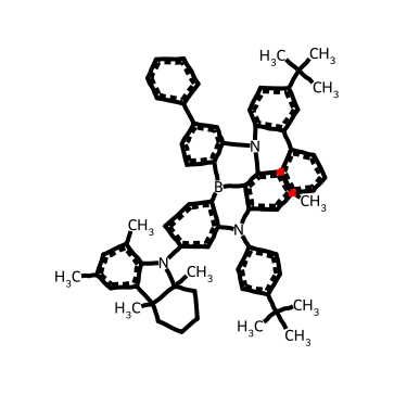 Cc1cc2c3c(c1)N(c1ccc(C(C)(C)C)cc1-c1ccccc1)c1cc(-c4ccccc4)ccc1B3c1ccc(N3c4c(C)cc(C)cc4C4(C)CCCCC34C)cc1N2c1ccc(C(C)(C)C)cc1